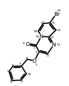 O=c1c(OCc2ccccc2)cnc2cc(Br)ccn12